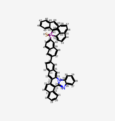 S=P(c1ccc2cc(-c3ccc4cc5c6ccc7ccccc7c6c6nc7ccccc7n6c5cc4c3)ccc2c1)(c1cccc2ccccc12)c1cccc2ccccc12